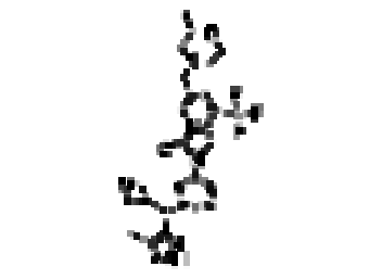 Cc1c[nH]nc1[C@H](c1cccc(-n2cc3c(C(F)(F)F)cc(CN4CCO[C@H](C)C4)cn3c2=O)c1)C1COC1